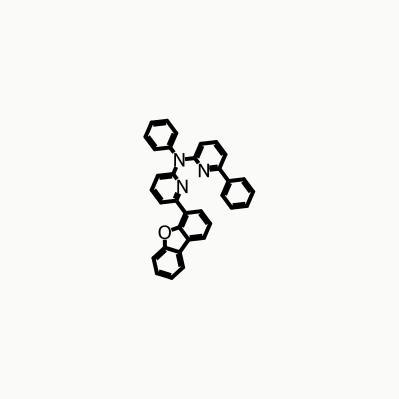 c1ccc(-c2cccc(N(c3ccccc3)c3cccc(-c4cccc5c4oc4ccccc45)n3)n2)cc1